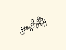 CC1(C)C(=N)NC(c2sc(C(=O)NCc3cnn4ccccc34)cc2Cl)C[S+]1[O-]